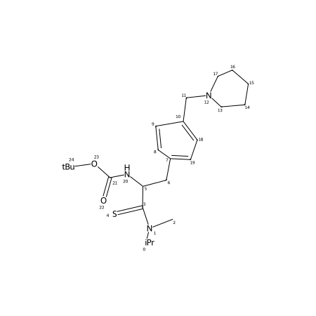 CC(C)N(C)C(=S)C(Cc1ccc(CN2CCCCC2)cc1)NC(=O)OC(C)(C)C